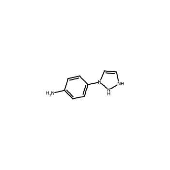 Nc1ccc(N2C=CNN2)cc1